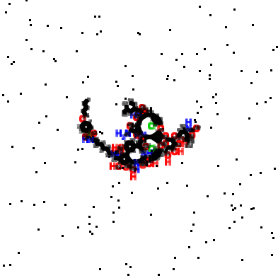 CCCCCOc1ccc(S(=O)(=O)NCCCCCCNCc2c(O)cc3c(c2O)-c2cc(ccc2O)[C@H]2CC(=O)[C@@H]4NC(=O)[C@H](CC(N)=O)CC(=O)[C@H](NC(=O)[C@H](CC)CC(C)C)[C@H](O)c5ccc(c(Cl)c5)Oc5cc4cc(c5O[C@@H]4O[C@H](CO)[C@@H](O)[C@H](O)[C@H]4O[C@H]4C[C@]5(C)NC(=O)O[C@@H]5[C@H](C)O4)Oc4ccc(cc4Cl)[C@@H](O)[C@H](NC2=O)C(=O)N[C@@H]3C(=O)O)cc1